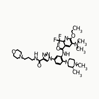 CCOc1nc(C(F)(F)F)c(C(=O)Nc2cc(-n3cc(C(=O)NCCCN4CCOCC4)nn3)ccc2N2CCN(C)[C@H](C)C2)cc1N(C)C